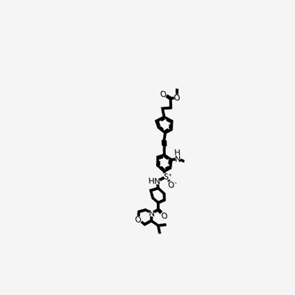 CNc1cc([S+]([O-])NC2CCC(C(=O)N3CCOCC3C(C)C)CC2)ccc1C#Cc1ccc(CCC(=O)OC)cc1